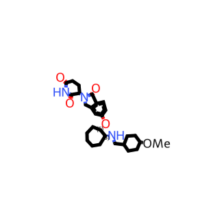 COC1CCC(CN[C@H]2CCCCC[C@@H]2Oc2ccc3c(c2)CN(C2CCC(=O)NC2=O)C3=O)CC1